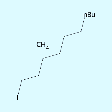 C.CCCCCCCCCCI